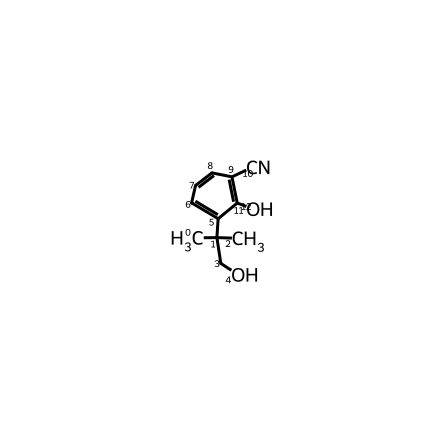 CC(C)(CO)c1cccc(C#N)c1O